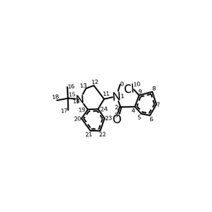 CN(C(=O)c1ccccc1Cl)C1CCN(C(C)(C)C)c2ccccc21